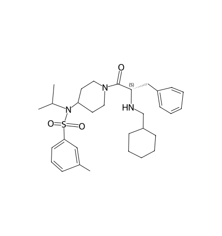 Cc1cccc(S(=O)(=O)N(C(C)C)C2CCN(C(=O)[C@H](Cc3ccccc3)NCC3CCCCC3)CC2)c1